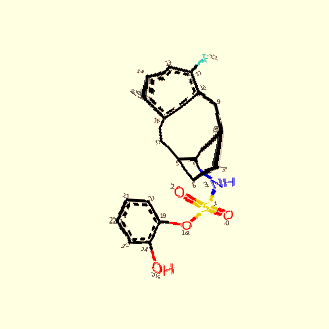 O=S(=O)(NC1C2CCC1Cc1c(F)cccc1C2)Oc1ccccc1O